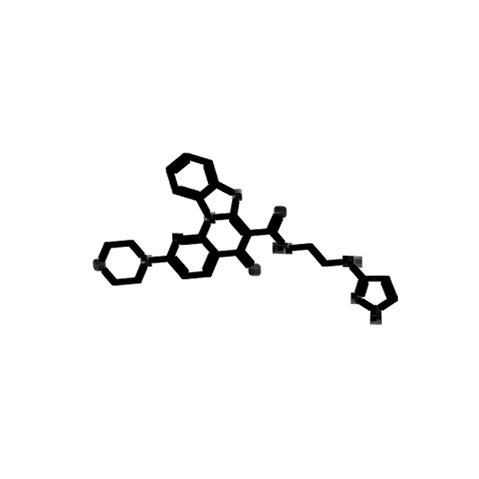 O=C(NCCNc1cc[nH]n1)c1c(=O)c2ccc(N3CCOCC3)nc2n2c1sc1ccccc12